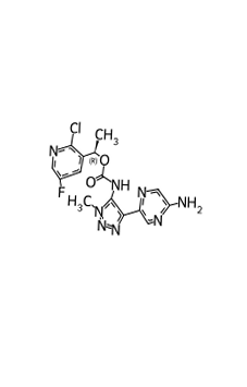 C[C@@H](OC(=O)Nc1c(-c2cnc(N)cn2)nnn1C)c1cc(F)cnc1Cl